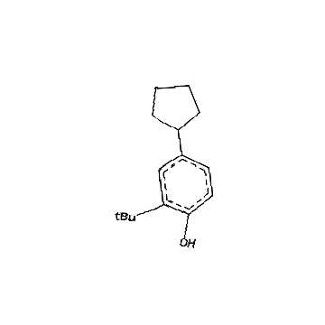 CC(C)(C)c1cc(C2CCCC2)ccc1O